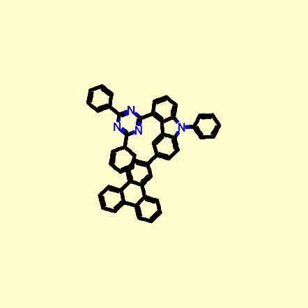 C1=CCC(c2nc(-c3ccccc3)nc(-c3cccc4c3c3cc(-c5ccc6c7ccccc7c7ccccc7c6c5)ccc3n4-c3ccccc3)n2)C=C1